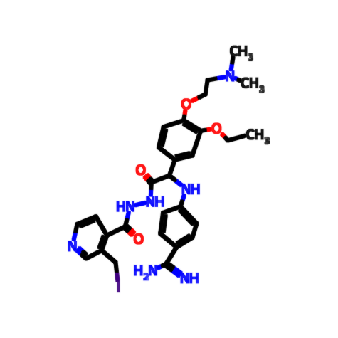 CCOc1cc(C(Nc2ccc(C(=N)N)cc2)C(=O)NNC(=O)c2ccncc2CI)ccc1OCCN(C)C